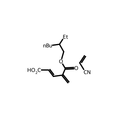 C=C(C=CC(=O)O)C(=O)OCC(CC)CCCC.C=CC#N